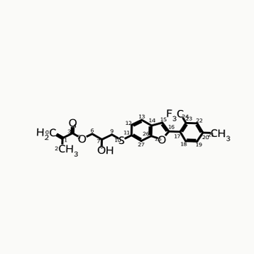 C=C(C)C(=O)OCC(O)CSc1ccc2cc(-c3ccc(C)cc3C(F)(F)F)oc2c1